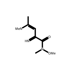 CN/C(C)=C\C(=N)C(=O)N(C)OC